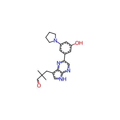 CC(C)(C=O)Cc1c[nH]c2ncc(-c3cc(O)cc(N4CCCC4)c3)nc12